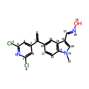 C=C(c1cc(Cl)nc(Cl)c1)c1ccc2c(c1)c(C=NO)cn2C